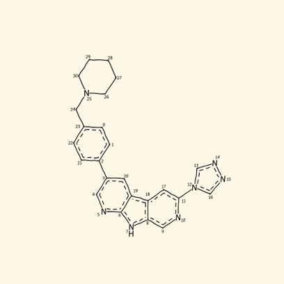 c1cc(-c2cnc3[nH]c4cnc(-n5cnnc5)cc4c3c2)ccc1CN1CCCCC1